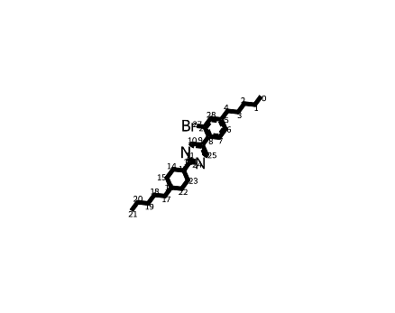 CCCCCc1ccc(-c2cnc(C3CCC(CCCCC)CC3)nc2)c(Br)c1